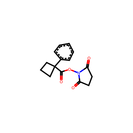 O=C1CCC(=O)N1OC(=O)C1(c2ccccc2)CCC1